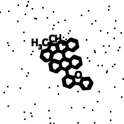 CC1(C)c2ccccc2-c2c1cc1ccccc1c2-c1c2ccccc2c(-c2cccc3c2oc2ccccc23)c2ccccc12